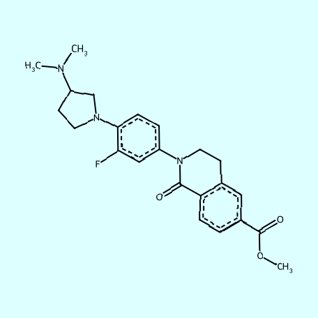 COC(=O)c1ccc2c(c1)CCN(c1ccc(N3CCC(N(C)C)C3)c(F)c1)C2=O